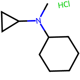 CN(C1CCCCC1)C1CC1.Cl